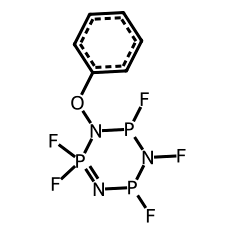 FN1P(F)N=P(F)(F)N(Oc2ccccc2)P1F